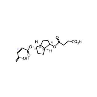 C=C(O)/C=C\C(=O)O[C@H]1CC[C@H]2[C@@H]1CC[C@H]2OC(=O)CCC(=O)O